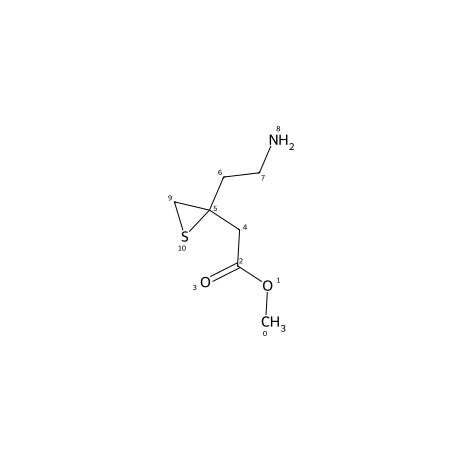 COC(=O)CC1(CCN)CS1